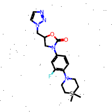 C[Si]1(C)CCN(c2ccc(N3CC(Cn4ccnn4)OC3=O)cc2F)CC1